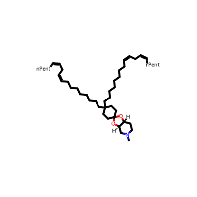 CCCCC/C=C\C/C=C\CCCCCCCCC1(CCCCCCCC/C=C\C/C=C\CCCCC)CCC2(CC1)O[C@@H]1CCN(C)C[C@H]1O2